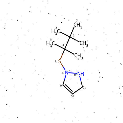 CC(C)(C)C(C)(C)SN1C=CCN1